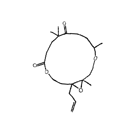 C=CCC12CCOC(=O)CCC(C)(C)C(=O)CCC(C)OCCC1(C)O2